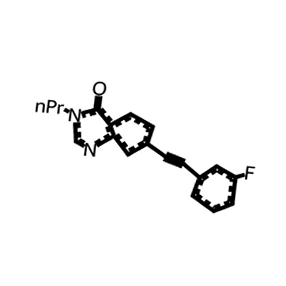 CCCn1cnc2cc(C#Cc3cccc(F)c3)ccc2c1=O